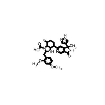 COc1ccc(CC2NC3C(c4cc5c(cn4)C(=O)NC5(C)c4cn[nH]c4)CCC(F)C3N2C(=O)O)c(OC)c1